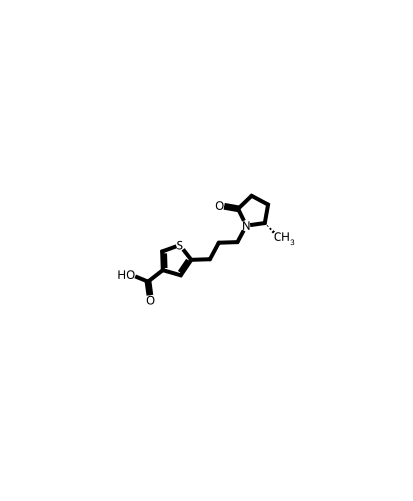 C[C@H]1CCC(=O)N1CCCc1cc(C(=O)O)cs1